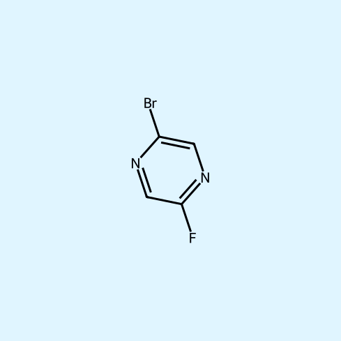 Fc1cnc(Br)cn1